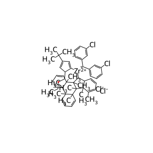 CCCCC1C=C(C(C)(C)C)C=[C]1[Zr+2](=[C](c1cccc(Cl)c1)c1cccc(Cl)c1)[CH]1C2C=CC=C(C)C2(C)C2(C)C3(C)C=CC=CC3(C)C3(C)C=CC=CC3(C)C12C.[Cl-].[Cl-]